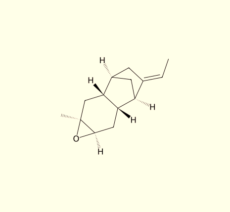 C/C=C1\C[C@H]2C[C@@H]1[C@@H]1C[C@H]3O[C@@]3(C)C[C@H]21